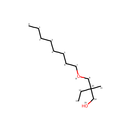 CCCCCCCCOCC(C)(CC)CO